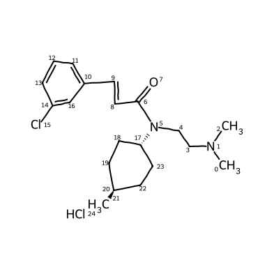 CN(C)CCN(C(=O)C=Cc1cccc(Cl)c1)[C@H]1CC[C@H](C)CC1.Cl